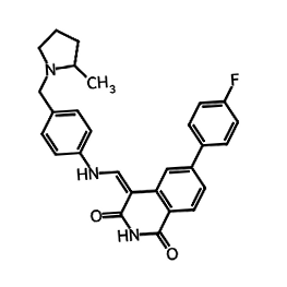 CC1CCCN1Cc1ccc(NC=C2C(=O)NC(=O)c3ccc(-c4ccc(F)cc4)cc32)cc1